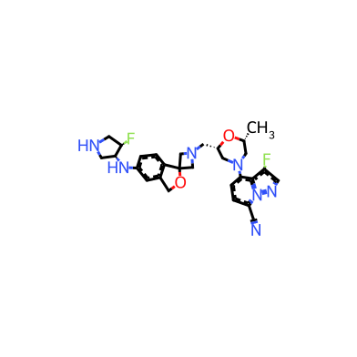 C[C@@H]1CN(c2ccc(C#N)n3ncc(F)c23)C[C@H](CN2CC3(C2)OCc2cc(N[C@H]4CNC[C@H]4F)ccc23)O1